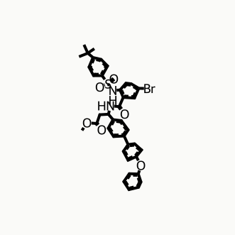 COC(=O)CC(NC(=O)c1cc(Br)ccc1NS(=O)(=O)c1ccc(C(C)(C)C)cc1)c1ccc(-c2ccc(Oc3ccccc3)cc2)cc1